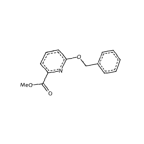 COC(=O)c1cccc(OCc2ccccc2)n1